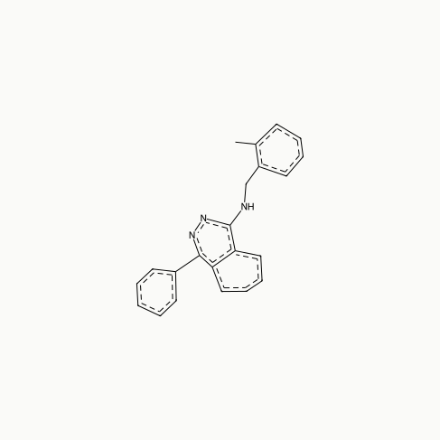 Cc1ccccc1CNc1nnc(-c2ccccc2)c2ccccc12